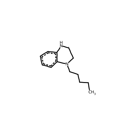 CCCCCN1C[CH]Nc2ccccc21